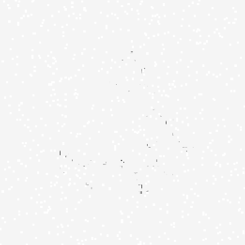 CC(OC(=O)OC1CCCCC1)OC(=O)[C@H](C)NC(=O)OC(C)(C)C